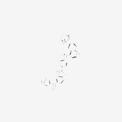 Cc1cc(Nc2ccc3nc(-c4ccc(Nc5cc(C)nc6ccc([C@]78C[C@H]7CO[C@@H](C)C8)cc56)cn4)[nH]c3c2)ccn1